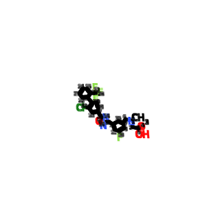 CN(CC(=O)O)Cc1cc(F)cc(-c2noc(-c3ccc(-c4ccccc4C(F)(F)F)c(Cl)c3)n2)c1